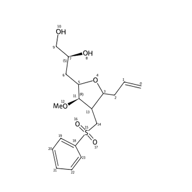 C=CCC1OC(C[C@H](O)CO)[C@H](OC)C1CS(=O)(=O)c1ccccc1